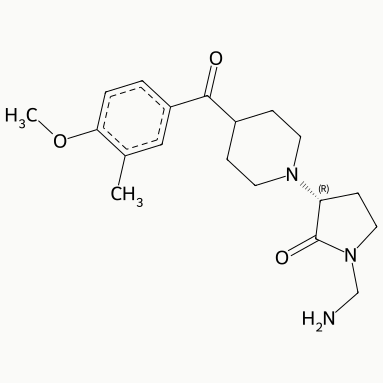 COc1ccc(C(=O)C2CCN([C@@H]3CCN(CN)C3=O)CC2)cc1C